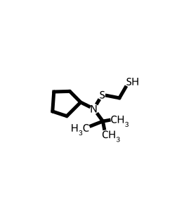 CC(C)(C)N(SCS)C1CCCC1